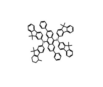 CC1CCCC2=C1c1ccc(N(c3ccc4c(c3)C(C)(C)c3ccccc3-4)c3c4ccc(-c5ccccc5)cc4c(N(c4ccc5c(c4)-c4ccccc4C5(C)C)c4ccc5c(c4)C(C)(C)c4ccccc4-5)c4ccc(-c5ccccc5)cc34)cc1C2(C)C